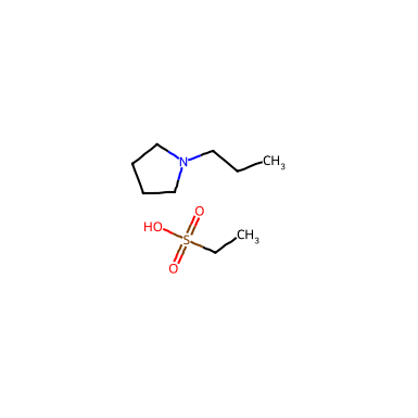 CCCN1CCCC1.CCS(=O)(=O)O